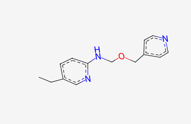 CCc1ccc(NCOCc2ccncc2)nc1